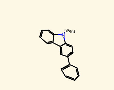 CCCCCn1c2ccccc2c2cc(-c3cc[c]cc3)ccc21